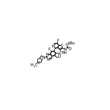 CN1CC2CN(c3ncc4c5c(c(-c6ncc(F)c7sc(NC(=O)OC(C)(C)C)c(C#N)c67)c(F)c4n3)COC5)C2C1